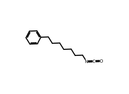 O=C=NCCCCCCCc1[c]cccc1